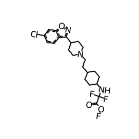 O=C(OF)C(F)(F)NC1CCC(CCN2CCC(c3noc4cc(Cl)ccc34)CC2)CC1